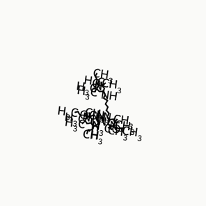 CCCON1C(C)(C)CC(NCCCCCCN(c2ncnc(NC(CCC)C3CC(C)(C)N(OCCC)C(C)(C)C3)n2)C2CC(C)(C)N(OCCC)C(C)(C)C2)CC1(C)C